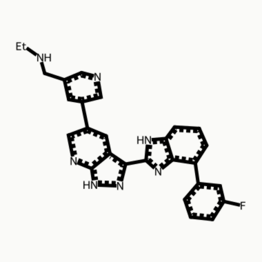 CCNCc1cncc(-c2cnc3[nH]nc(-c4nc5c(-c6cccc(F)c6)cccc5[nH]4)c3c2)c1